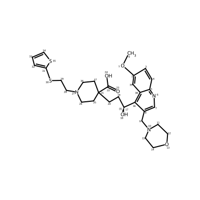 COc1ccc2ncc(CN3CCOCC3)c([C@@H](O)CCC3(C(=O)O)CCN(CCSc4cccs4)CC3)c2c1